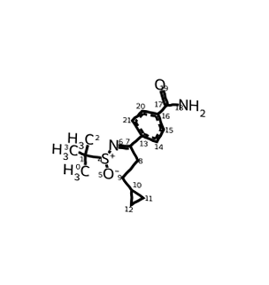 CC(C)(C)[S+]([O-])/N=C(\CCC1CC1)c1ccc(C(N)=O)cc1